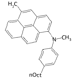 CCCCCCCCc1ccc(N(C)c2ccc3cc(C)c4cccc5ccc2c3c54)cc1